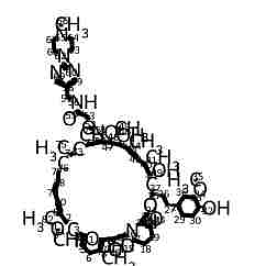 CO[C@H]1C[C@@H]2CC[C@@H](C)[C@@](O)(O2)C(=O)C(=O)N2CCCC[C@H]2C(=O)O[C@H](CC[C@@H]2CC[C@@H](O)[C@H](OC)C2)C[C@@H](O)[C@H](C)/C=C(\C)[C@@H](O)[C@@H](OC)/C(=N/OCC(=O)NCc2cnc(N3CCN(C)CC3)nc2)[C@H](C)C[C@H](C)CC/C=C/C=C/1C